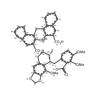 COc1ccc2c(c1OC)C(=O)O[C@@H]2[C@H]1c2c(cc3c(c2OC)OCO3)CCN1C.O=C(O)c1cc2ccccc2c(Cc2c(O)c(C(=O)O)cc3ccccc23)c1O